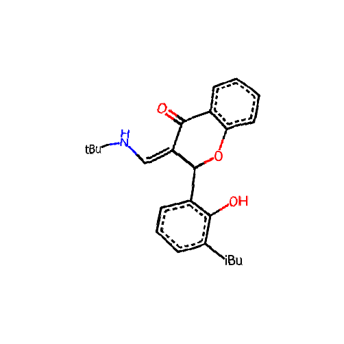 CCC(C)c1cccc(C2Oc3ccccc3C(=O)/C2=C\NC(C)(C)C)c1O